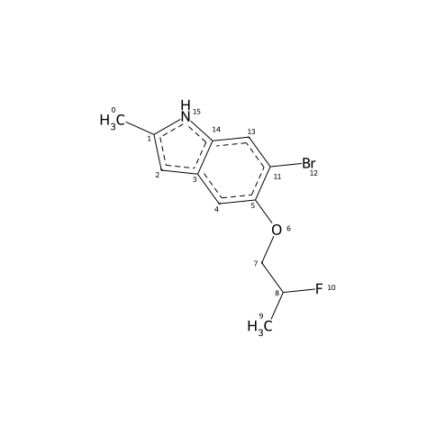 Cc1cc2cc(OCC(C)F)c(Br)cc2[nH]1